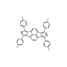 Cc1ccc(-c2sc(-c3ccc(C)cc3)c3c2-c2ccc4c5c(ccc-3c25)-c2c(-c3ccc(C)cc3)sc(-c3ccc(C)cc3)c2-4)cc1